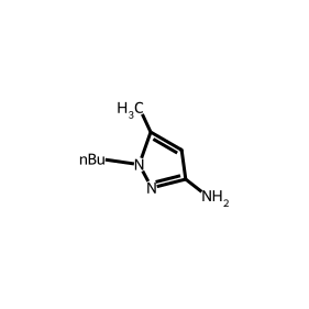 CCCCn1nc(N)cc1C